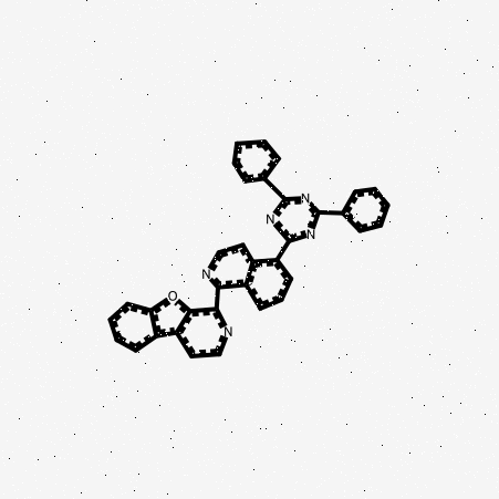 c1ccc(-c2nc(-c3ccccc3)nc(-c3cccc4c(-c5nccc6c5oc5ccccc56)nccc34)n2)cc1